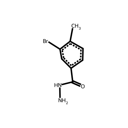 Cc1ccc(C(=O)NN)cc1Br